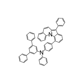 c1ccc(-c2cc(-c3ccccc3)cc(N(c3ccccc3)c3ccc(-c4cccc5c(-c6ccccc6)c6ccc7ccccc7n6c45)cc3)c2)cc1